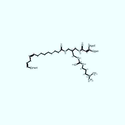 CCCCC/C=C\C/C=C\CCCCCCCC(=O)OCC(COC(=O)/C=C(\CCCCC)CCCCCCCCCC)COC(=O)OCCCN(C)C